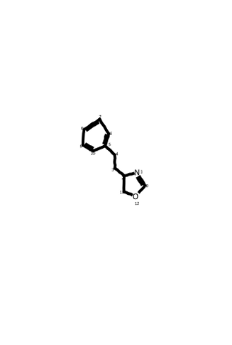 [C]1=NC(CCc2ccccc2)CO1